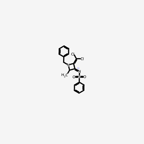 CC1/C(=N\S(=O)(=O)c2ccccc2)C(=C(Cl)Cl)N1Cc1ccccc1